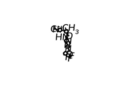 [C-]#[N+]c1ccc(-c2cc(C(=O)Nc3ccc(N4CCN(Cc5ccccc5OC(F)(F)F)CC4)nc3)ccc2C)cc1